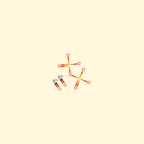 O=P([O-])([O-])OP(=O)([O-])[O-].[O]=[V+2].[O]=[V+2]